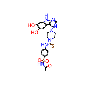 CC(=O)NS(=O)(=O)c1ccc(NC(=S)N2CCN(c3ncnc4[nH]c5cc(O)c(O)cc5c34)CC2)cc1